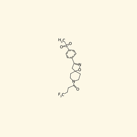 CS(=O)(=O)c1ccc(C2=NOC3(CCN(C(=O)CCC(F)(F)F)CC3)C2)cc1